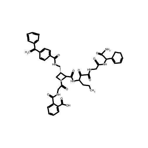 C=C(c1ccccc1)c1ccc(C(=O)NC[C@H]2CN(C(=O)CNC(=O)c3ccccc3C(=O)O)C2C(=O)NC(CCC)C(=O)C(=O)NCC(=O)NC(C(N)=O)C2=CC=CCC2)cc1